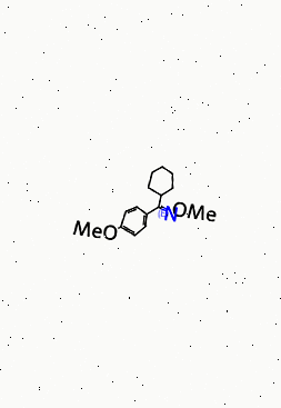 CO/N=C(/c1ccc(OC)cc1)C1CCCCC1